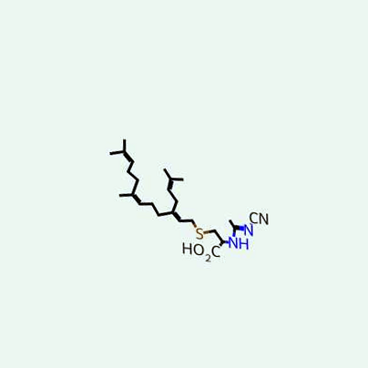 CC(C)=CCCC(C)=CCCC(=CCSCC(N/C(C)=N/C#N)C(=O)O)CC=C(C)C